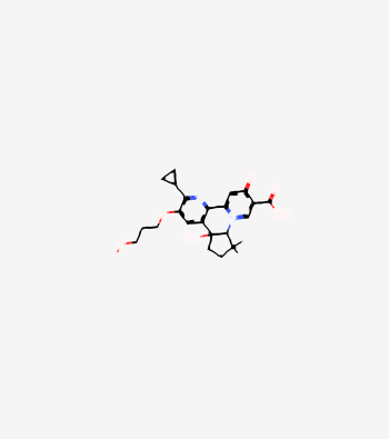 COCCCOc1cc2c(nc1C1CC1)-c1cc(=O)c(C(=O)O)cn1C1C(C)(C)CCC21O